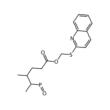 CC(CCC(=O)OCSc1ccc2ccccc2n1)C(C)P=O